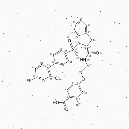 O=C(O)c1ccc(OCCNC(=O)[C@@H]2Cc3ccccc3N2S(=O)(=O)c2ccc(-c3ccc(F)cc3Cl)cc2)cc1F